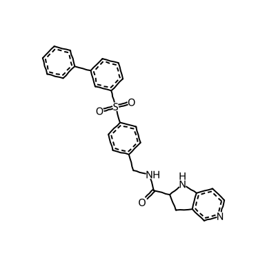 O=C(NCc1ccc(S(=O)(=O)c2cccc(-c3ccccc3)c2)cc1)C1Cc2cnccc2N1